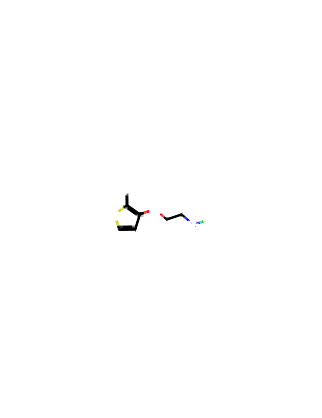 Cc1sccc1OCCNCl